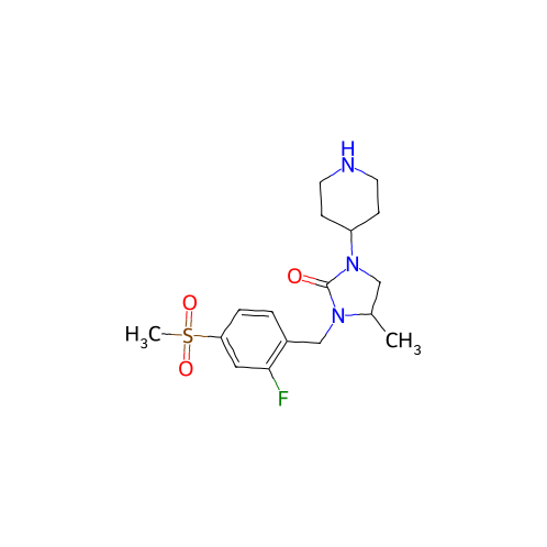 CC1CN(C2CCNCC2)C(=O)N1Cc1ccc(S(C)(=O)=O)cc1F